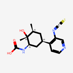 C[C@H]1C[C@@H](c2ccncc2N=C=S)C[C@@H](NC(=O)O)[C@]1(C)O